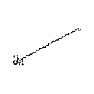 CCCCCCCCCCCCCCCCCCCCCCCCCCCCCCCCC[CH2][Na].O=C(O)c1ccccc1C(=O)O